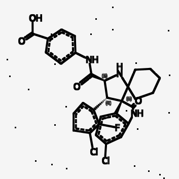 O=C(O)c1ccc(NC(=O)[C@H]2NC3(CCCCC3)[C@]3(C(=O)Nc4cc(Cl)ccc43)[C@@H]2c2cccc(Cl)c2F)cc1